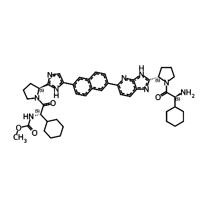 COC(=O)N[C@H](C(=O)N1CCC[C@H]1c1ncc(-c2ccc3cc(-c4ccc5nc([C@@H]6CCCN6C(=O)[C@@H](N)C6CCCCC6)[nH]c5n4)ccc3c2)[nH]1)C1CCCCC1